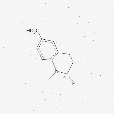 CC1Cc2cc(C(=O)O)ccc2N(C)[C@H]1F